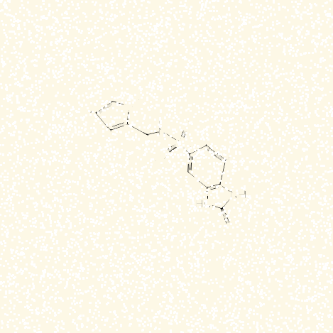 O=c1[nH]c2ccc(S(=O)(=O)NCc3ccco3)cc2[nH]1